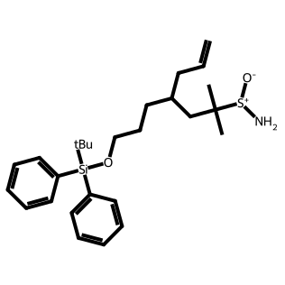 C=CCC(CCCO[Si](c1ccccc1)(c1ccccc1)C(C)(C)C)CC(C)(C)[S+](N)[O-]